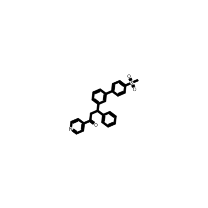 CS(=O)(=O)c1ccc(-c2cccc(C(CC(=O)c3ccncc3)c3ccccc3)c2)cc1